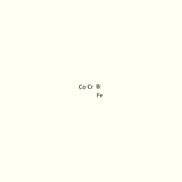 [B].[Co].[Cr].[Fe]